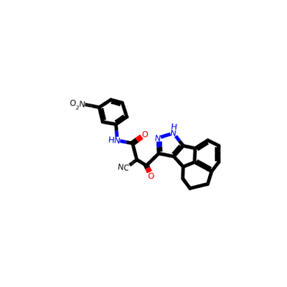 N#CC(C(=O)Nc1cccc([N+](=O)[O-])c1)C(=O)c1n[nH]c2c1C1CCCc3cccc-2c31